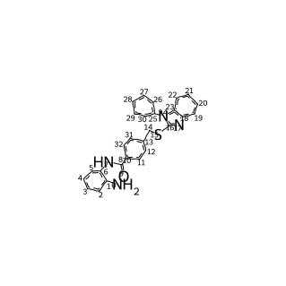 Nc1ccccc1NC(=O)c1ccc(CSc2nc3ccccc3n2-c2ccccc2)cc1